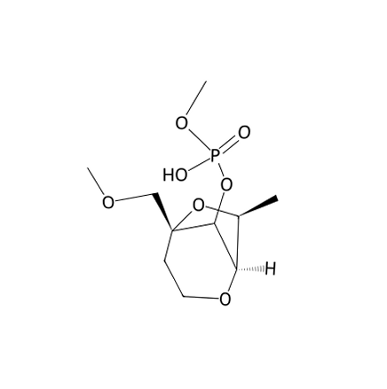 COC[C@]12CCO[C@@H](C1OP(=O)(O)OC)[C@H](C)O2